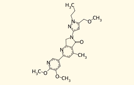 CCCn1nc(N2Cc3nc(-c4cnc(OC)c(OC)c4)cc(C)c3C2=O)cc1COC